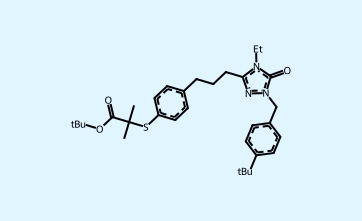 CCn1c(CCCc2ccc(SC(C)(C)C(=O)OC(C)(C)C)cc2)nn(Cc2ccc(C(C)(C)C)cc2)c1=O